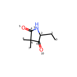 CCC1NC(=O)C(C)(C)C1=O